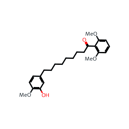 COc1ccc(CCCCCCCCC(=O)c2c(OC)cccc2OC)cc1O